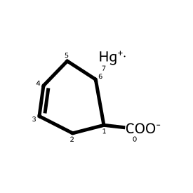 O=C([O-])C1CC=CCC1.[Hg+]